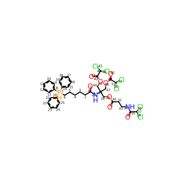 O=C(CCCCC[PH](c1ccccc1)(c1ccccc1)c1ccccc1)NC(COC(=O)CCNC(=O)C(Cl)Cl)(COC(=O)C(Cl)Cl)COC(=O)C(Cl)Cl